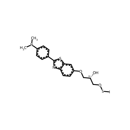 CN(C)c1ccc(-c2nc3ccc(OC[C@H](O)COSI)cc3s2)cc1